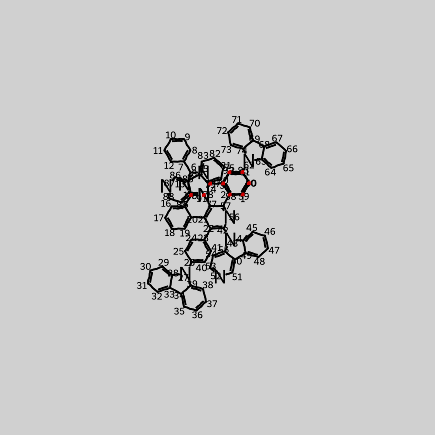 c1ccc(-c2nc(-c3ccccc3)nc(-c3ccccc3-c3c(-c4ccc(-n5c6ccccc6c6ccccc65)cc4)c(-n4c5ccccc5c5cnccc54)nc(-c4ccc(-n5c6ccccc6c6ccccc65)cc4)c3-n3c4ccccc4c4cnccc43)n2)cc1